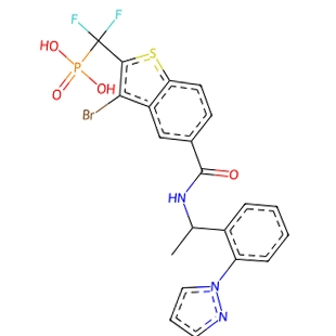 CC(NC(=O)c1ccc2sc(C(F)(F)P(=O)(O)O)c(Br)c2c1)c1ccccc1-n1cccn1